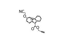 C#CCOC(=O)c1c2ccccc2n2cc(OCC#N)ccc12